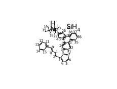 C(C=Cc1ccccc1)=Cc1ccccc1.CC(C)(C)[NH][Ti]([CH3])([CH3])[C]1=Cc2c(c3ccccc3c3ccccc23)C1.[SiH4]